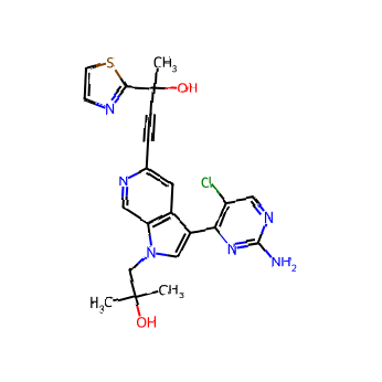 CC(C)(O)Cn1cc(-c2nc(N)ncc2Cl)c2cc(C#CC(C)(O)c3nccs3)ncc21